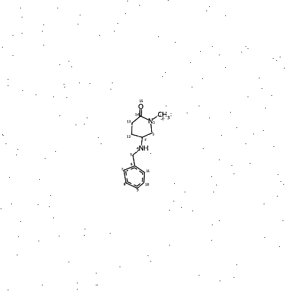 CN1CC(NCc2ccccc2)CCC1=O